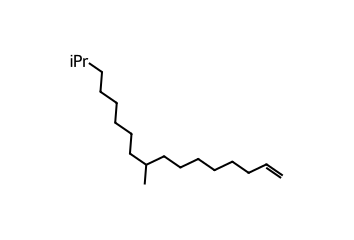 C=CCCCCCCC(C)CCCCCCC(C)C